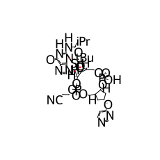 CC(C)C(=O)Nc1nc2c(ncn2[C@@H]2O[C@@H]3COP(=O)(O)O[C@H]4C[C@H](Oc5ccncn5)C[C@@H]4COP(=O)(OCCC#N)O[C@@H]2[C@@H]3O[Si](C)(C)C(C)(C)C)c(=O)[nH]1